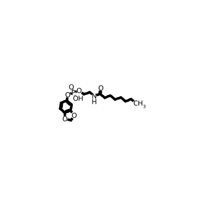 CCCCCCCC(=O)NCCOP(=O)(O)Oc1ccc2c(c1)OCO2